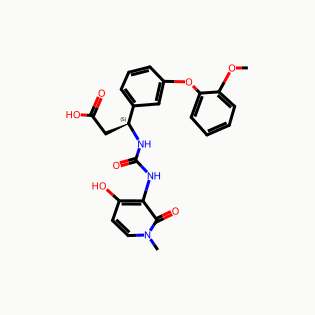 COc1ccccc1Oc1cccc([C@H](CC(=O)O)NC(=O)Nc2c(O)ccn(C)c2=O)c1